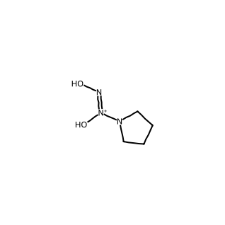 O/N=[N+](\O)N1CCCC1